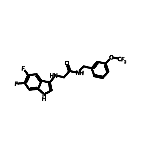 O=C(CNc1c[nH]c2cc(F)c(F)cc12)NCc1cccc(OC(F)(F)F)c1